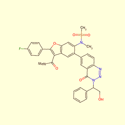 CNC(=O)c1c(-c2ccc(F)cc2)oc2cc(N(C)S(C)(=O)=O)c(-c3ccc4nnn(C(CO)c5ccccc5)c(=O)c4c3)cc12